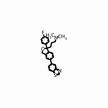 CN(C)CCCC1(c2ccc(F)cc2)OCc2cc(-c3ccc4scnc4c3)ccc21